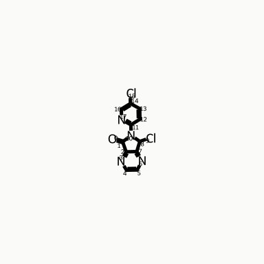 O=C1c2nccnc2C(Cl)N1c1ccc(Cl)cn1